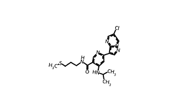 CSCCCNC(=O)c1cnc(-c2cnn3cc(Cl)cnc23)cc1NC(C)C